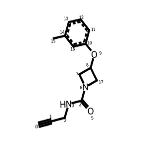 C#CCNC(=O)N1CC(Oc2cccc(C)c2)C1